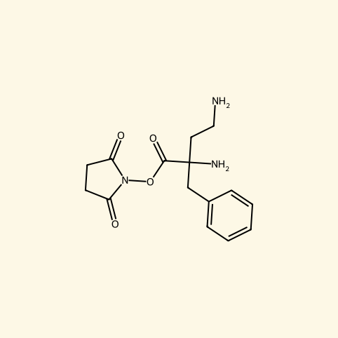 NCCC(N)(Cc1ccccc1)C(=O)ON1C(=O)CCC1=O